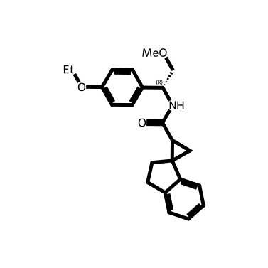 CCOc1ccc([C@H](COC)NC(=O)C2CC23CCc2ccccc23)cc1